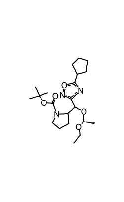 CCO[C@H](C)OC(c1noc(C2CCCC2)n1)C1CCCN1C(=O)OC(C)(C)C